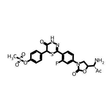 CC(=O)[C@@H](N)C1CN(c2ccc(C3=NNC(=O)C(c4ccc(OS(C)(=O)=O)cc4)S3)c(F)c2)C(=O)O1